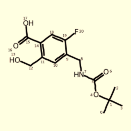 CC(C)(C)OC(=O)NCc1cc(CO)c(C(=O)O)cc1F